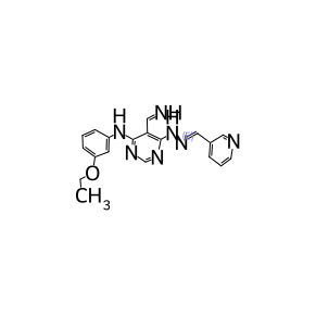 CCOc1cccc(Nc2ncnc(N/N=C/c3cccnc3)c2C=N)c1